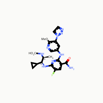 COc1ncc(Nc2nc(N[C@@H](C3CC3)[C@H](C)NC(=O)O)c(F)cc2C(N)=O)cc1-n1ccnn1